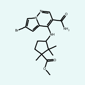 COC(=O)C1(C)CCC(Nc2c(C(N)=O)cnn3cc(Br)cc23)C1(C)C